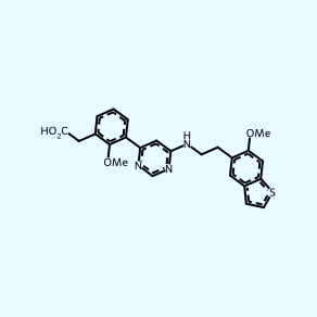 COc1cc2sccc2cc1CCNc1cc(-c2cccc(CC(=O)O)c2OC)ncn1